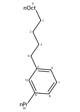 CCCCCCCCCCCCc1cccc(CCC)c1